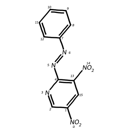 O=[N+]([O-])c1cnc(N=Nc2ccccc2)c([N+](=O)[O-])c1